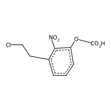 O=C(O)Oc1cccc(CCCl)c1[N+](=O)[O-]